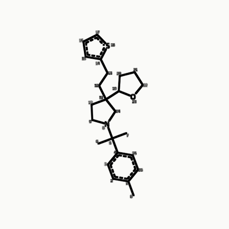 Cc1ccc(C(C)(C)N2CCC(CCc3cccs3)(C3CCCO3)C2)cc1